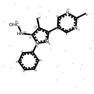 Cc1ncc(-c2nn(-c3ccccc3)c(NC=O)c2C)cn1